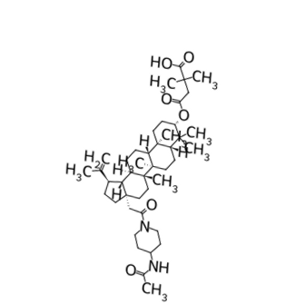 C=C(C)[C@@H]1CC[C@]2(CC(=O)N3CCC(NC(C)=O)CC3)CC[C@]3(C)[C@H](CC[C@@H]4[C@@]5(C)CC[C@H](OC(=O)CC(C)(C)C(=O)O)C(C)(C)[C@@H]5CC[C@]43C)[C@@H]12